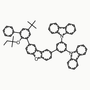 CCC(C)(C)Oc1c(-c2ccccc2)cc(C(C)(C)C)cc1-c1ccc2oc3ccc(-c4cc(-n5c6ccccc6c6ccccc65)cc(-n5c6ccccc6c6ccccc65)c4)cc3c2c1